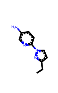 CCc1ccn(-c2ccc(N)cn2)n1